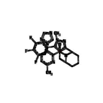 Cc1ccc(-n2cncn2)c(C(=O)N2C3CCCC2c2nn(C)c(-c4cc(F)c(F)c(F)c4)c2C3)n1